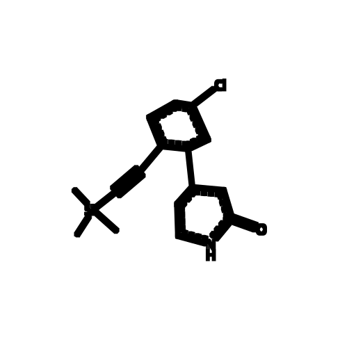 C[Si](C)(C)C#Cc1ccc(Cl)cc1-c1cc[nH]c(=O)c1